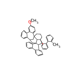 COc1ccc2c(c1)-c1ccccc1C1CC23CCCC2(c4ccccc4-c4ccccc4C)CC4c5ccccc5-c5ccccc5C4(C1)C23